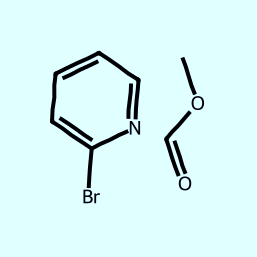 Brc1ccccn1.COC=O